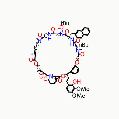 CCCC[C@H]1C(=O)N[C@@H](Cc2ccc3ccccc3c2)C(=O)N(C)[C@@H](COC(C)(C)C)C(=O)NCC(=O)N(C)CC/C=C/C(=O)OCC(C)(C)C(=O)C(=O)N2CCCC[C@H]2C(=O)O[C@H](CCc2ccc(OC)c(OC)c2O)c2cccc(c2)OCC(=O)N1C